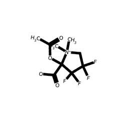 CC(=O)OC1(C(=O)[O-])C(F)(F)C(F)(F)C[N+]1(C)C